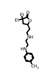 CCC1(CC)CC(CCNCCNc2ccc(C)cc2)OC1=O